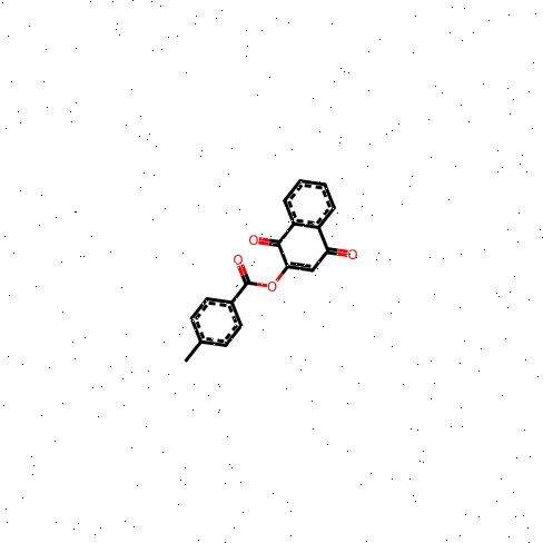 Cc1ccc(C(=O)OC2=CC(=O)c3ccccc3C2=O)cc1